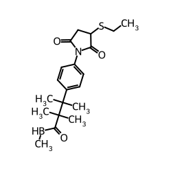 CBC(=O)C(C)(C)C(C)(C)c1ccc(N2C(=O)CC(SCC)C2=O)cc1